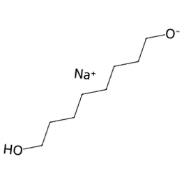 [Na+].[O-]CCCCCCCCO